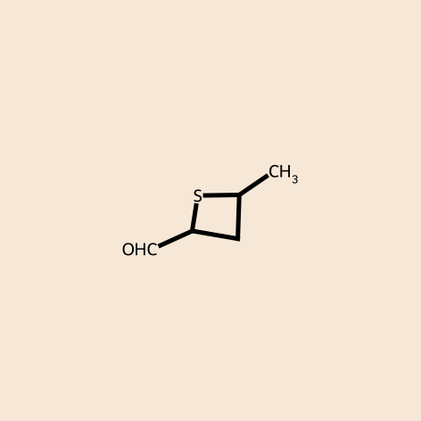 CC1CC(C=O)S1